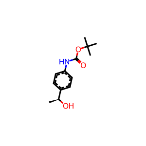 C[C@H](O)c1ccc(NC(=O)OC(C)(C)C)cc1